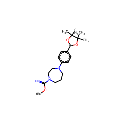 CC(C)(C)OC(=N)N1CCCN(c2ccc(B3OC(C)(C)C(C)(C)O3)cc2)CC1